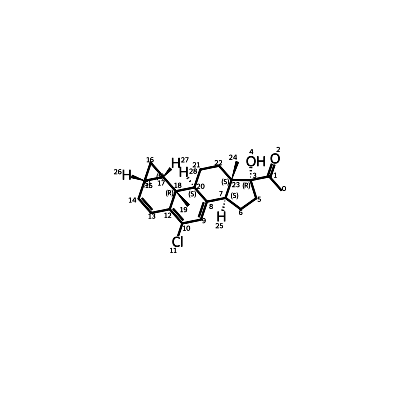 CC(=O)[C@@]1(O)CC[C@H]2C3=CC(Cl)=C4C=C[C@@H]5C[C@@H]5[C@]4(C)[C@H]3CC[C@@]21C